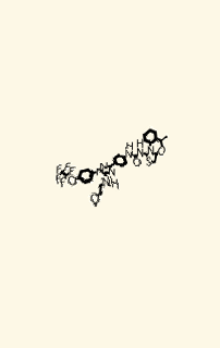 COCCNc1nc(-c2ccc(NC(=O)NC3SCC(=O)N3c3ccccc3C(C)C)cc2)nn1-c1ccc(OC(F)(F)C(F)(F)F)cc1